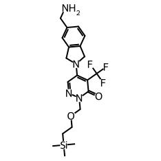 C[Si](C)(C)CCOCn1ncc(N2Cc3ccc(CN)cc3C2)c(C(F)(F)F)c1=O